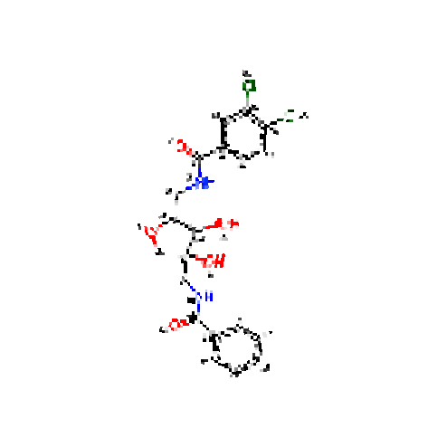 O=C(NC[C@H]1OC[C@@](O)(CNC(=O)c2ccccc2)[C@@H]1O)c1ccc(Cl)c(Cl)c1